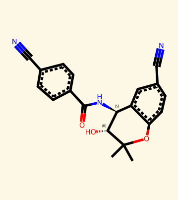 CC1(C)Oc2ccc(C#N)cc2[C@H](NC(=O)c2ccc(C#N)cc2)[C@H]1O